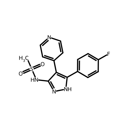 CS(=O)(=O)Nc1n[nH]c(-c2ccc(F)cc2)c1-c1ccncc1